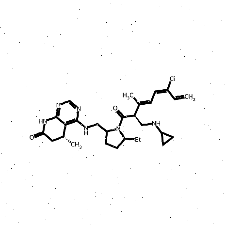 C=C/C(Cl)=C\C=C(/C)[C@@H](CNC1CC1)C(=O)N1C(CC)CCC1CNc1ncnc2c1[C@H](C)CC(=O)N2